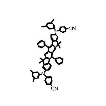 Cc1cc(C)cc(N(c2ccc(C#N)cc2)c2ccc3c(c2)C(C)(C)c2cc4c(-c5ccccc5)c5c(cc4c(-c4ccccc4)c2-3)C(C)(C)c2cc(N(c3ccc(C#N)cc3)c3cc(C)cc(C)c3)ccc2-5)c1